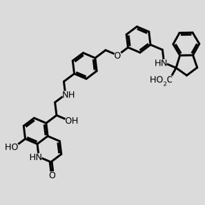 O=C(O)C1(NCc2cccc(OCc3ccc(CNCC(O)c4ccc(O)c5[nH]c(=O)ccc45)cc3)c2)CCc2ccccc21